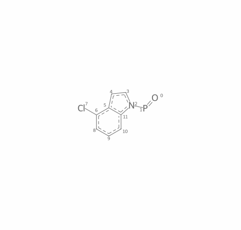 O=Pn1ccc2c(Cl)cccc21